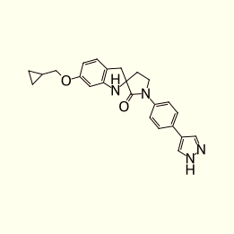 O=C1N(c2ccc(-c3cn[nH]c3)cc2)CCC12Cc1ccc(OCC3CC3)cc1N2